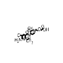 COc1nc(N)c(Cl)cc1C(=O)N[C@@H]1CCN(CCOCC(=O)O)C[C@@H]1OC